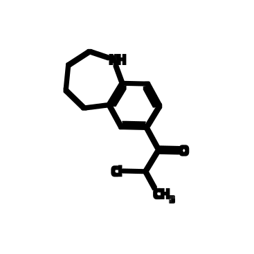 CC(Cl)C(=O)c1ccc2c(c1)CCCCN2